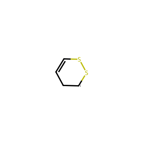 [C]1CC=CSS1